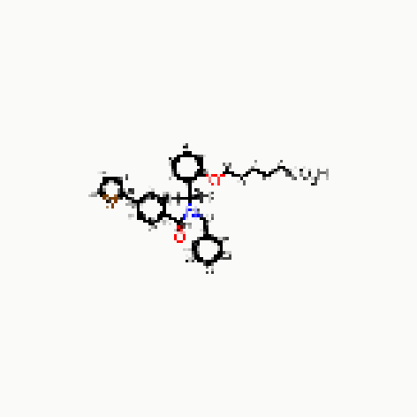 [2H]C([2H])(c1ccccc1OCCCCCC(=O)O)N(Cc1ccccc1)C(=O)c1ccc(-c2cccs2)cc1